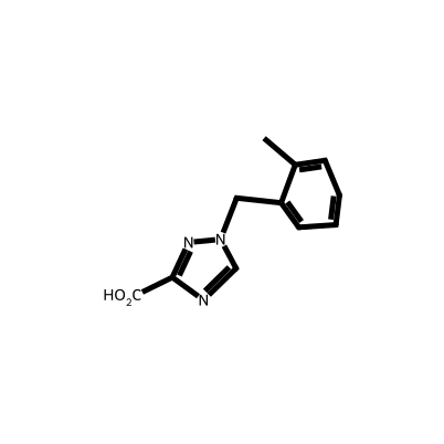 Cc1ccccc1Cn1cnc(C(=O)O)n1